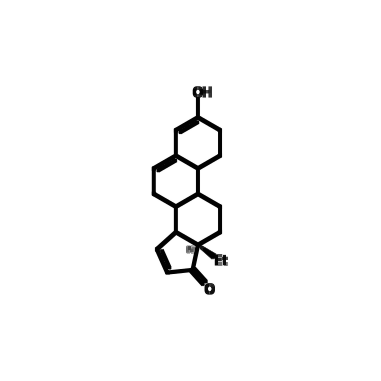 CC[C@]12CCC3C4CCC(O)=CC4=CCC3C1C=CC2=O